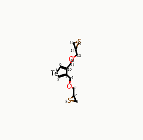 c1[te]cc(COCC2CS2)c1COCC1CS1